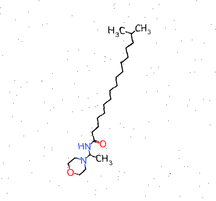 CC(C)CCCCCCCCCCCCCCC(=O)NC(C)N1CCOCC1